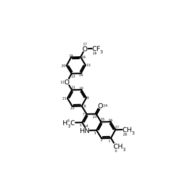 Cc1cc2[nH]c(C)c(-c3ccc(Oc4ccc(OC(F)(F)F)cc4)cc3)c(=O)c2cc1C